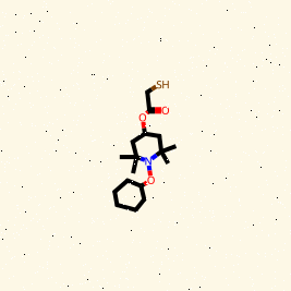 CC1(C)CC(OC(=O)CS)CC(C)(C)N1OC1CCCCC1